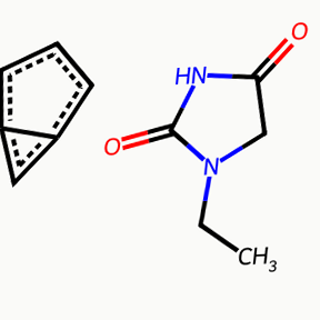 CCN1CC(=O)NC1=O.c1cc2cc-2c1